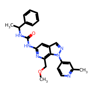 COCc1nc(NC(=O)NC(C)c2ccccc2)cc2cnn(-c3ccnc(C)c3)c12